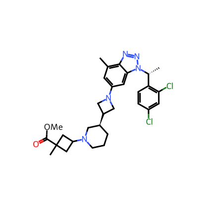 COC(=O)C1(C)CC(N2CCC[C@H](C3CN(c4cc(C)c5nnn([C@H](C)c6ccc(Cl)cc6Cl)c5c4)C3)C2)C1